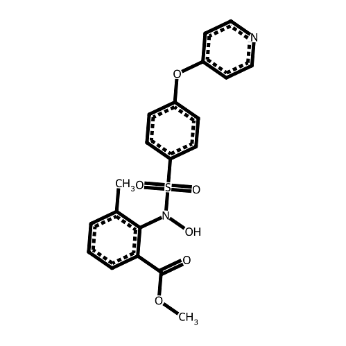 COC(=O)c1cccc(C)c1N(O)S(=O)(=O)c1ccc(Oc2ccncc2)cc1